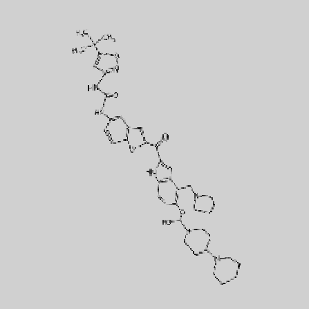 CC(C)(C)c1cc(NC(=O)Nc2ccc3oc(C(=O)c4cc5c(CN6CCCC6)c(OC(O)N6CCC(N7CCCCC7)CC6)ccc5[nH]4)cc3c2)no1